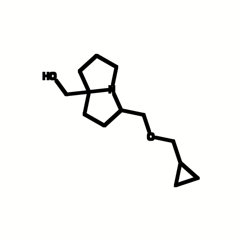 OCC12CCCN1C(COCC1CC1)CC2